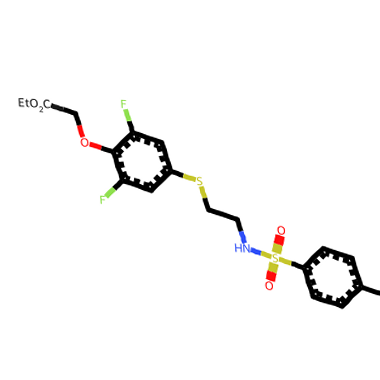 CCOC(=O)COc1c(F)cc(SCCNS(=O)(=O)c2ccc(C)cc2)cc1F